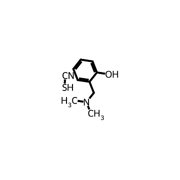 CN(C)Cc1ccccc1O.N#CS